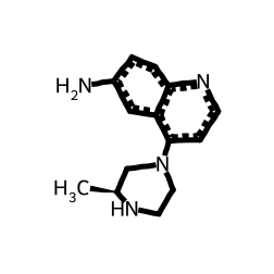 C[C@H]1CN(c2ccnc3ccc(N)cc23)CCN1